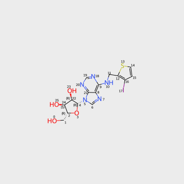 OC[C@H]1O[C@@H](n2cnc3c(NCc4sccc4I)ncnc32)[C@H](O)[C@@H]1O